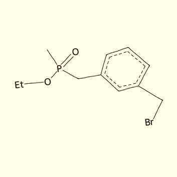 CCOP(C)(=O)Cc1cccc(CBr)c1